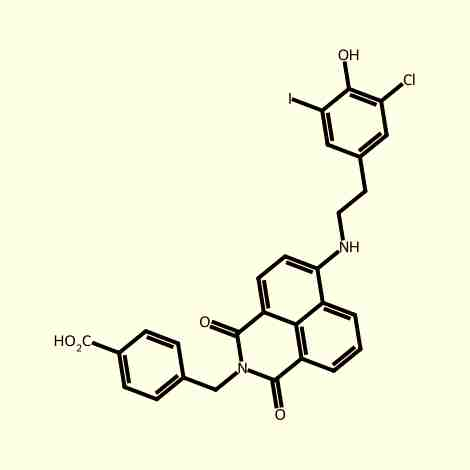 O=C(O)c1ccc(CN2C(=O)c3cccc4c(NCCc5cc(Cl)c(O)c(I)c5)ccc(c34)C2=O)cc1